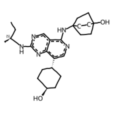 CC[C@H](C)Nc1ncc2c(NC34CCC(O)(CC3)CC4)ncc([C@H]3CC[C@H](O)CC3)c2n1